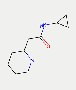 O=C(CC1CCCC[N]1)NC1CC1